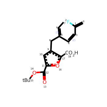 C=C(F)/C=C\C(=C/C)Cc1cc(C(=O)OC(C)(C)C)oc1C(=O)O